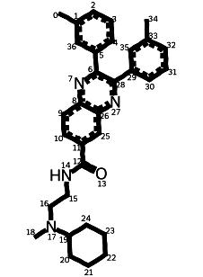 Cc1cccc(-c2nc3ccc(C(=O)NCCN(C)C4CCCCC4)cc3nc2-c2cccc(C)c2)c1